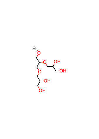 CCOCC(COCC(O)CO)OCC(O)CO